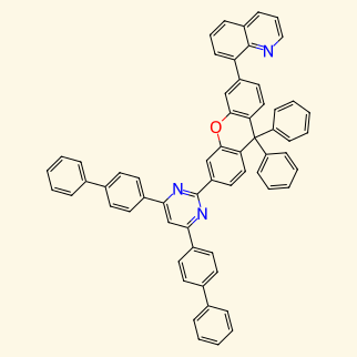 c1ccc(-c2ccc(-c3cc(-c4ccc(-c5ccccc5)cc4)nc(-c4ccc5c(c4)Oc4cc(-c6cccc7cccnc67)ccc4C5(c4ccccc4)c4ccccc4)n3)cc2)cc1